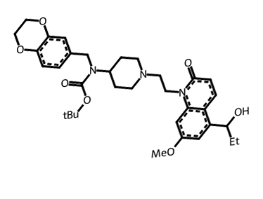 CCC(O)c1cc(OC)cc2c1ccc(=O)n2CCN1CCC(N(Cc2ccc3c(c2)OCCO3)C(=O)OC(C)(C)C)CC1